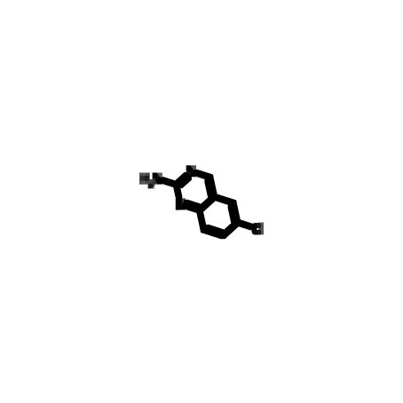 Nc1ncc2cc(Cl)ccc2n1